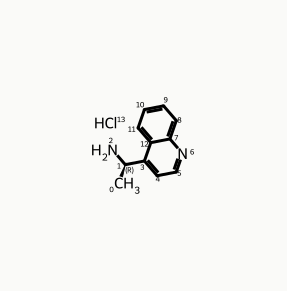 C[C@@H](N)c1ccnc2ccccc12.Cl